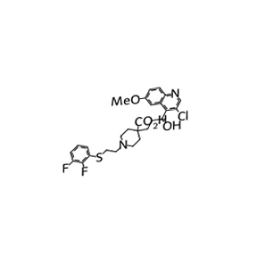 COc1ccc2ncc(Cl)c([C@@H](O)CCC3(C(=O)O)CCN(CCSc4cccc(F)c4F)CC3)c2c1